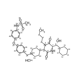 CCCCN1C(=O)[C@@H]([C@H](O)C2CCCCC2)NC(=O)C1C1CCN(Cc2ccc(Oc3ccc(NS(C)(=O)=O)cc3)cc2)CC1.Cl